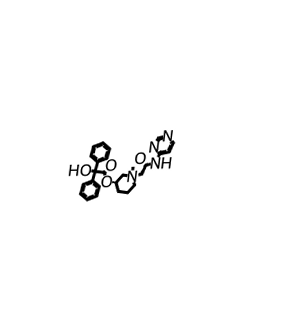 C[N+]1(CC(=O)Nc2ccncn2)CCC[C@@H](OC(=O)C(O)(c2ccccc2)c2ccccc2)C1